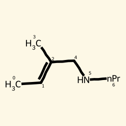 CC=C(C)CNCCC